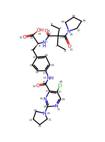 CCC(CC)(C(=O)N[C@@H](Cc1ccc(NC(=O)c2nc(N3CCCC3)ncc2Cl)cc1)C(=O)O)C(=O)N1CCCC1